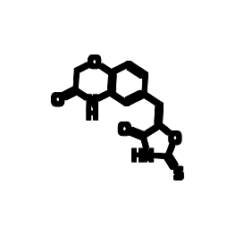 O=C1COc2ccc(C=C3OC(=S)NC3=O)cc2N1